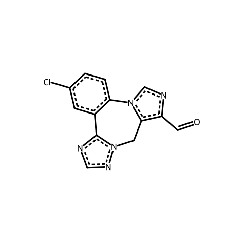 O=Cc1ncn2c1Cn1ncnc1-c1cc(Cl)ccc1-2